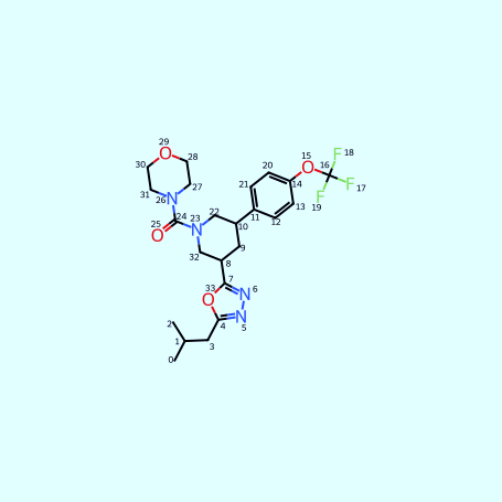 CC(C)Cc1nnc(C2CC(c3ccc(OC(F)(F)F)cc3)CN(C(=O)N3CCOCC3)C2)o1